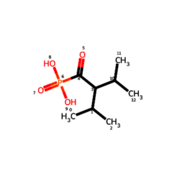 CC(C)C(C(=O)P(=O)(O)O)C(C)C